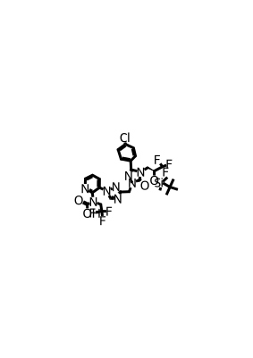 CC(C)(C)[Si](C)(C)O[C@@H](Cn1c(-c2ccc(Cl)cc2)nn(Cc2ncn(-c3cccnc3N(CC(F)(F)F)C(=O)O)n2)c1=O)C(F)(F)F